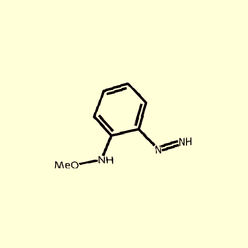 CONc1ccccc1N=N